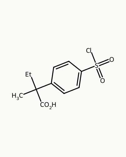 CCC(C)(C(=O)O)c1ccc(S(=O)(=O)Cl)cc1